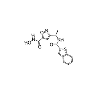 C[C@@H](NC(=O)c1cc2ccccc2s1)c1cc(C(=O)NO)on1